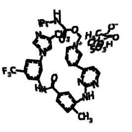 CS(=O)(=O)O.CS(=O)(=O)[O-].Cc1cn(-c2cc(NC(=O)c3ccc(C)c(Nc4nccc(-c5ccc[n+](COC(=O)NC(C)C)c5)n4)c3)cc(C(F)(F)F)c2)cn1